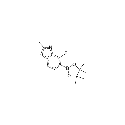 Cn1cc2ccc(B3OC(C)(C)C(C)(C)O3)c(F)c2n1